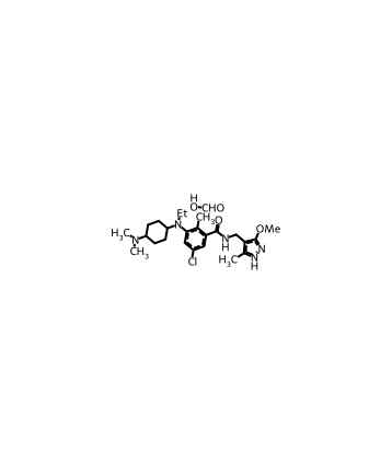 CCN(c1cc(Cl)cc(C(=O)NCc2c(OC)n[nH]c2C)c1C)C1CCC(N(C)C)CC1.O=CO